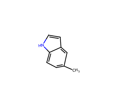 Cc1ccc2[nH][c]cc2c1